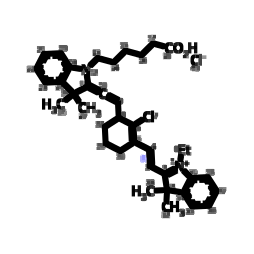 CC[N+]1=C(/C=C/C2=C(Cl)C(C=C=C3N(CCCCCC(=O)O)c4ccccc4C3(C)C)CCC2)C(C)(C)c2ccccc21.[Cl-]